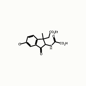 CCOC(=O)CC1(C)c2ccc(Cl)cc2C(=O)C1NC(=O)C(=O)O